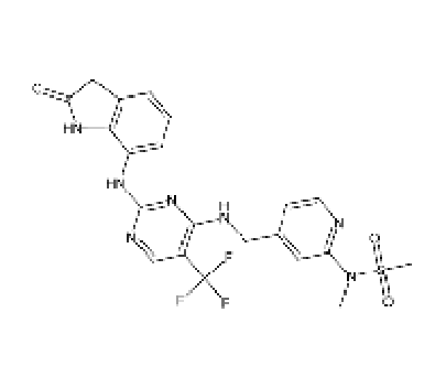 CN(c1cc(CNc2nc(Nc3cccc4c3NC(=O)C4)ncc2C(F)(F)F)ccn1)S(C)(=O)=O